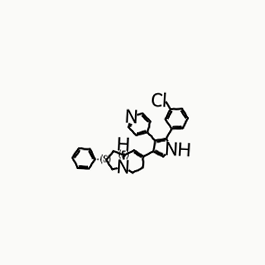 Clc1cccc(-c2[nH]cc(C3=C[C@@H]4C[C@@H](c5ccccc5)CN4CC3)c2-c2ccncc2)c1